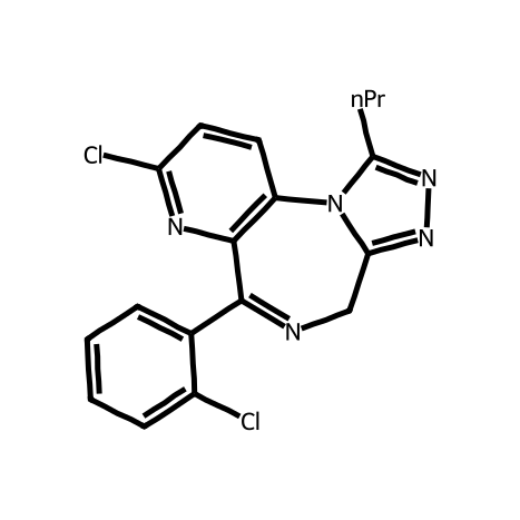 CCCc1nnc2n1-c1ccc(Cl)nc1C(c1ccccc1Cl)=NC2